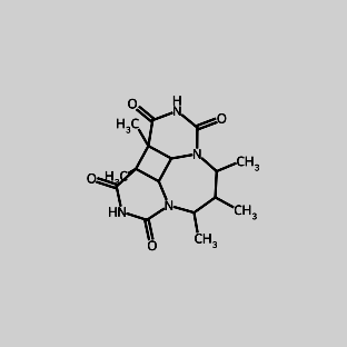 CC1C(C)N2C(=O)NC(=O)C3(C)C2C2N(C(=O)NC(=O)C23C)C1C